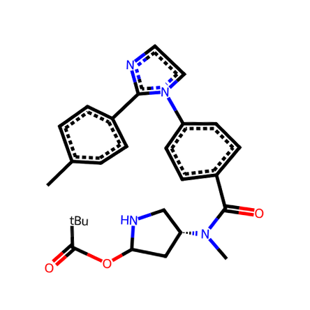 Cc1ccc(-c2nccn2-c2ccc(C(=O)N(C)[C@H]3CNC(OC(=O)C(C)(C)C)C3)cc2)cc1